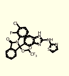 O=C1c2ccccc2C(OC(=O)C(F)(F)F)(c2ccc3[nH]c(Nc4nccs4)nc3c2)N1c1cccc(Cl)c1F